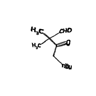 CCCCCC(=O)C(C)(C)C=O